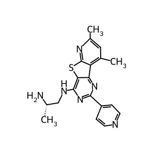 Cc1cc(C)c2c(n1)sc1c(NC[C@H](C)N)nc(-c3ccncc3)nc12